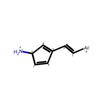 CC(=O)/C=C/C1=CC(N)C=C1